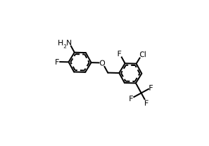 Nc1cc(OCc2cc(C(F)(F)F)cc(Cl)c2F)ccc1F